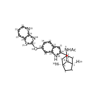 CC(=O)NC1C[C@H]2CC[C@@H](C1)N2Cc1cc2ccc(Oc3nc4ncccc4s3)cc2[nH]1